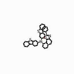 c1ccc(-c2nc3ccc4cccc(N(c5ccc6c(c5)sc5ccccc56)c5ccc6c(c5)sc5ccccc56)c4c3o2)cc1